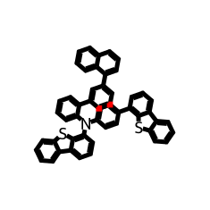 c1cc(-c2ccccc2N(c2ccc(-c3cccc4c3sc3ccccc34)cc2)c2cccc3c2sc2ccccc23)cc(-c2cccc3ccccc23)c1